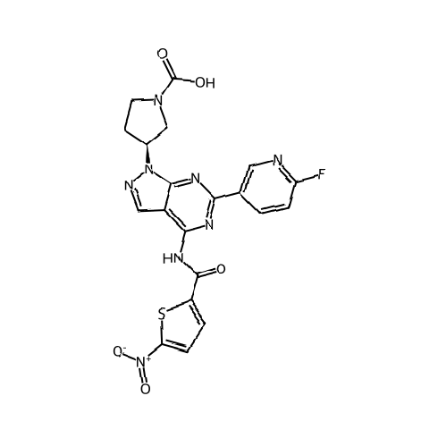 O=C(Nc1nc(-c2ccc(F)nc2)nc2c1cnn2[C@H]1CCN(C(=O)O)C1)c1ccc([N+](=O)[O-])s1